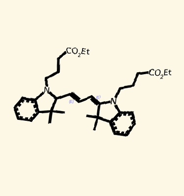 CCOC(=O)CCCN1/C(=C/C=C/C2N(CCCC(=O)OCC)c3ccccc3C2(C)C)C(C)(C)c2ccccc21